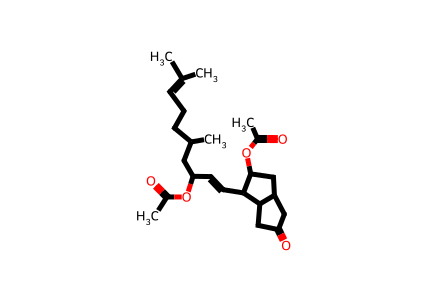 CC(=O)OC(C=CC1C(OC(C)=O)CC2CC(=O)CC21)CC(C)CCC=C(C)C